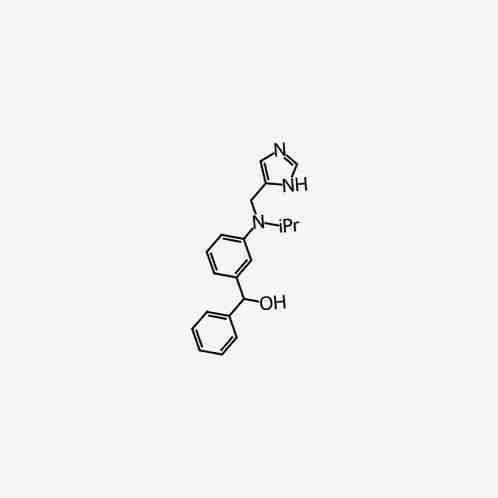 CC(C)N(Cc1cnc[nH]1)c1cccc(C(O)c2ccccc2)c1